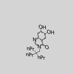 CCCC(CCC)(CCC)Cn1cnc2cc(O)c(O)cc2c1=O